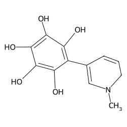 CN1C=C(c2c(O)c(O)c(O)c(O)c2O)C=CC1